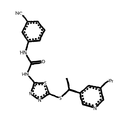 CC(C)c1cncc(C(C)Sc2nnc(NC(=O)Nc3cccc(C#N)c3)s2)c1